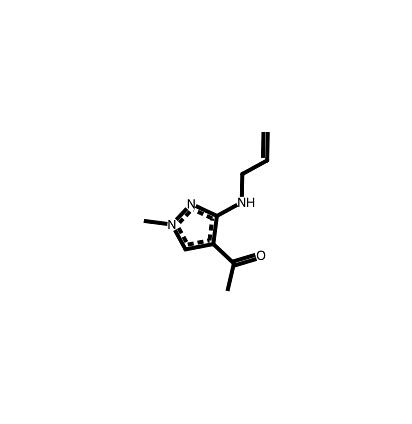 C=CCNc1nn(C)cc1C(C)=O